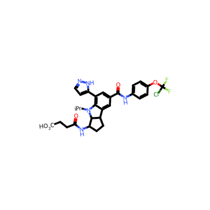 CC(C)N1c2c(-c3ccn[nH]3)cc(C(=O)Nc3ccc(OC(F)(F)Cl)cc3)cc2C2CCC(NC(=O)CCC(=O)O)C21